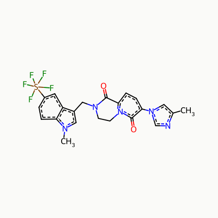 Cc1cn(-c2ccc3n(c2=O)CCN(Cc2cn(C)c4ccc(S(F)(F)(F)(F)F)cc24)C3=O)cn1